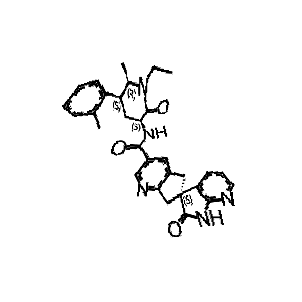 CCN1C(=O)[C@@H](NC(=O)c2cnc3c(c2)C[C@@]2(C3)C(=O)Nc3ncccc32)C[C@@H](c2ccccc2C)[C@H]1C